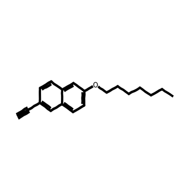 C#Cc1ccc2cc(OCCCCCCC)ccc2c1